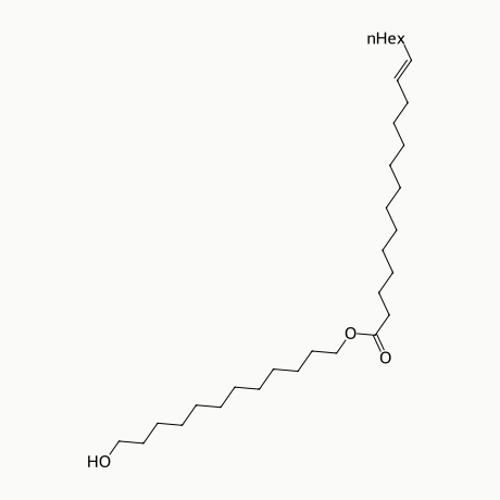 CCCCCCC=CCCCCCCCCCCCC(=O)OCCCCCCCCCCCCO